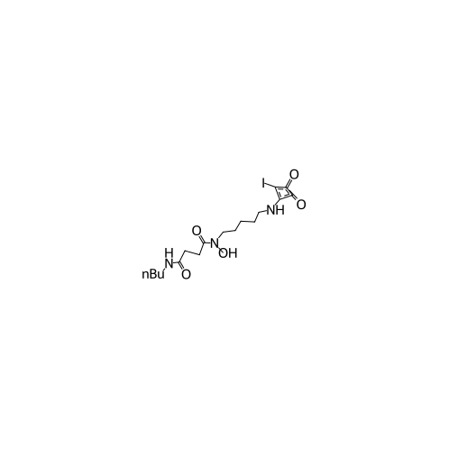 CCCCNC(=O)CCC(=O)N(O)CCCCCNc1c(I)c(=O)c1=O